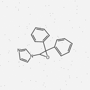 c1ccc(C2(c3ccccc3)OC2n2ccnc2)cc1